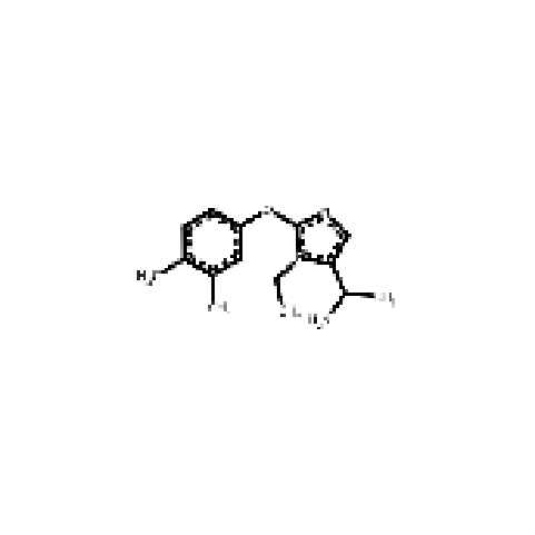 CCn1c(C(C)N)cnc1Oc1ccc(C)c(C)c1